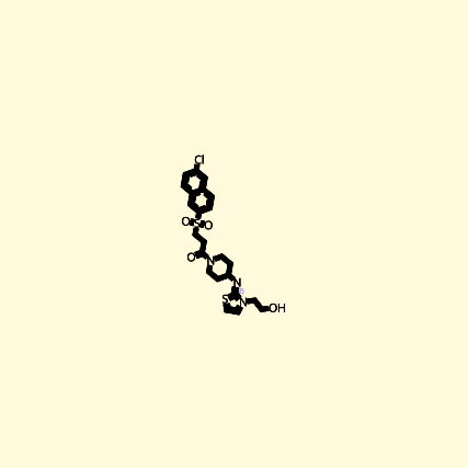 O=C(CCS(=O)(=O)c1ccc2cc(Cl)ccc2c1)N1CCC(/N=c2\sccn2CCO)CC1